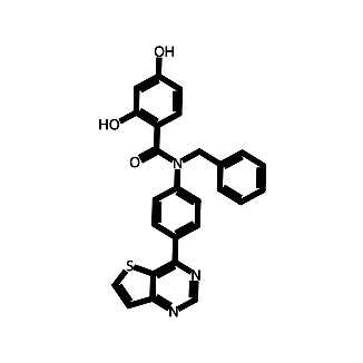 O=C(c1ccc(O)cc1O)N(Cc1ccccc1)c1ccc(-c2ncnc3ccsc23)cc1